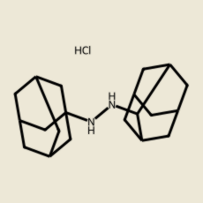 C1C2CC3CC1CC(C2)C3NNC12CC3CC(CC(C3)C1)C2.Cl